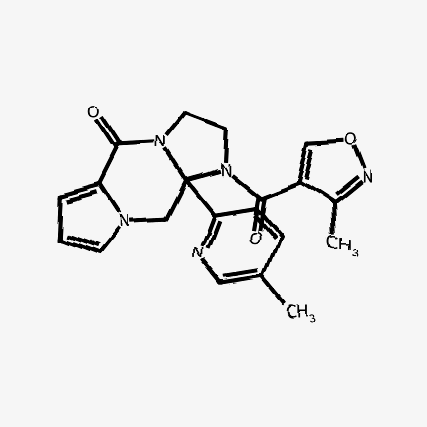 Cc1ccc(C23Cn4cccc4C(=O)N2CCN3C(=O)c2conc2C)nc1